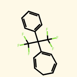 FC(F)(F)C(C1=CC=CCC=C1)(c1ccccc1)C(F)(F)F